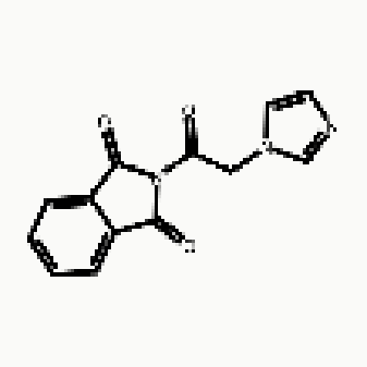 O=C(Cn1ccnc1)N1C(=O)c2ccccc2C1=O